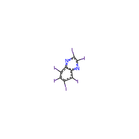 Ic1nc2c(I)c(I)c(I)c(I)c2nc1I